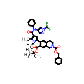 Cc1c(C(=O)N(c2ccccc2)c2cnn(C(F)F)c2)cc(-c2cc3c(cc2C(=O)OC(C)(C)C)CN(C(=O)OCc2ccccc2)CC3)n1C